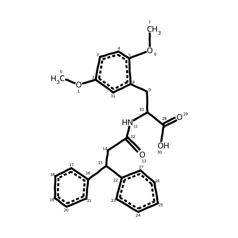 COc1ccc(OC)c(CC(NC(=O)CC(c2ccccc2)c2ccccc2)C(=O)O)c1